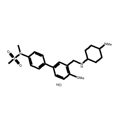 CNC1CCC(NCc2cc(-c3ccc(N(C)S(C)(=O)=O)cc3)ccc2OC)CC1.Cl